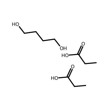 CCC(=O)O.CCC(=O)O.OCCCCO